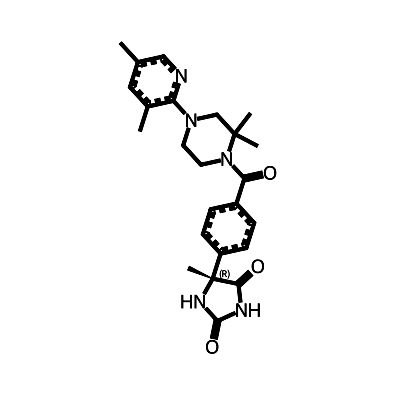 Cc1cnc(N2CCN(C(=O)c3ccc([C@@]4(C)NC(=O)NC4=O)cc3)C(C)(C)C2)c(C)c1